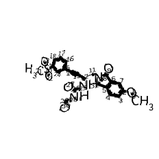 COc1ccc2c(c1)C(=O)N(C[C@@H](C#Cc1cccc(S(C)(=O)=O)c1)NC(=O)NC=O)C2